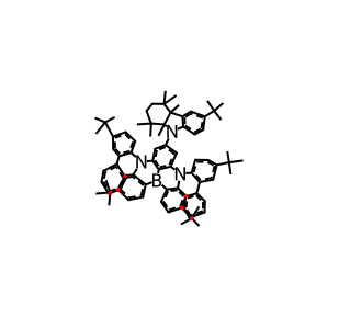 CC(C)(C)c1ccc(N2c3cc(C(C)(C)C)ccc3B3c4ccc(C(C)(C)C)cc4N(c4ccc(C(C)(C)C)cc4-c4ccccc4)c4cc(N5c6ccc(C(C)(C)C)cc6C6(C)C(C)(C)CCC(C)(C)C56C)cc2c43)c(-c2ccccc2)c1